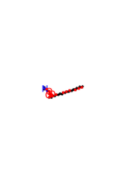 CCCCCC=CCC=CCCCCCCCCC(CCC)OC(=O)OCCN(C)C